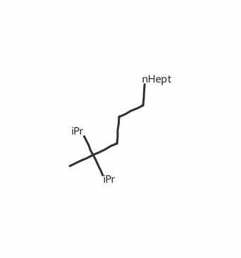 CCCCCCCCCCC(C)(C(C)C)C(C)C